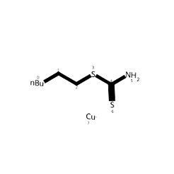 CCCCCCSC(N)=S.[Cu]